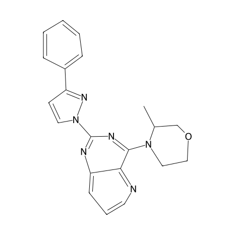 CC1COCCN1c1nc(-n2ccc(-c3ccccc3)n2)nc2cccnc12